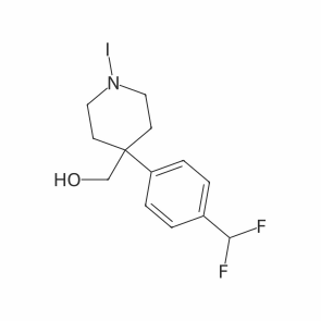 OCC1(c2ccc(C(F)F)cc2)CCN(I)CC1